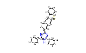 c1ccc(C2=NC(c3ccc4cc5c(cc4c3)sc3ccccc35)=NC(c3ccccc3)N2)cc1